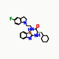 O=C(NCCN1CCc2cc(F)ccc21)[C@H](CC1CCCCC1)Nc1nc2ccccc2s1